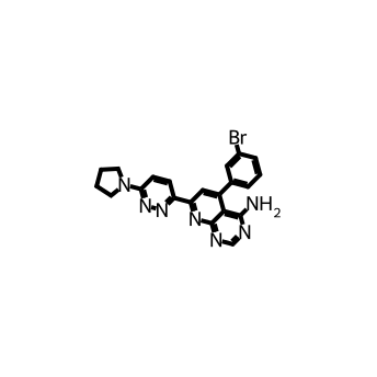 Nc1ncnc2nc(-c3ccc(N4CCCC4)nn3)cc(-c3cccc(Br)c3)c12